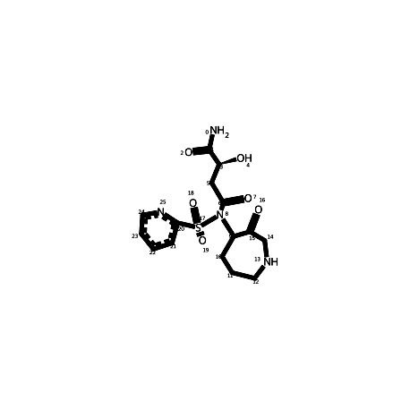 NC(=O)[C@@H](O)[CH]C(=O)N(C1CCCNCC1=O)S(=O)(=O)c1ccccn1